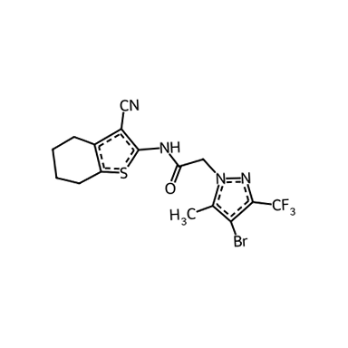 Cc1c(Br)c(C(F)(F)F)nn1CC(=O)Nc1sc2c(c1C#N)CCCC2